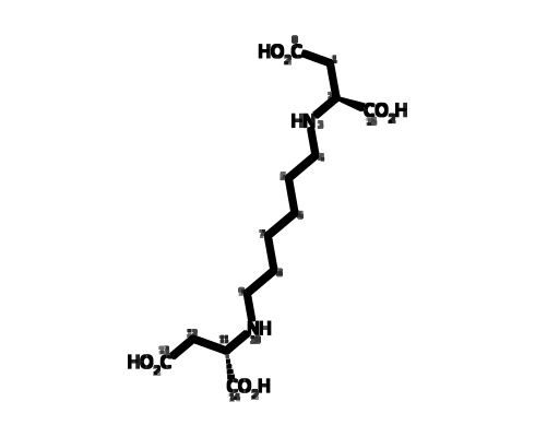 O=C(O)C[C@H](NCCCCCCN[C@@H](CC(=O)O)C(=O)O)C(=O)O